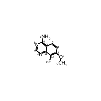 COc1ccc2c(N)ncnc2c1F